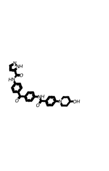 O=C(Nc1ccc(C(=O)c2ccc(NC(=O)c3ccn[nH]3)cc2)cc1)c1ccc(N2CCC(O)CC2)cc1